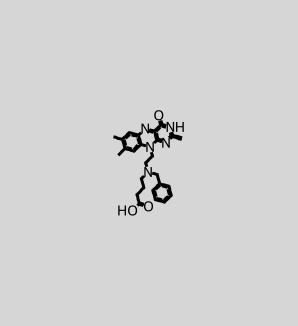 C=c1nc2c(c(=O)[nH]1)=Nc1cc(C)c(C)cc1N2CCN(CCCC(=O)O)Cc1ccccc1